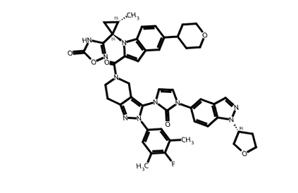 Cc1cc(-n2nc3c(c2-n2ccn(-c4ccc5c(cnn5[C@@H]5CCOC5)c4)c2=O)CN(C(=O)c2cc4cc(C5CCOCC5)ccc4n2[C@@]2(c4noc(=O)[nH]4)C[C@@H]2C)CC3)cc(C)c1F